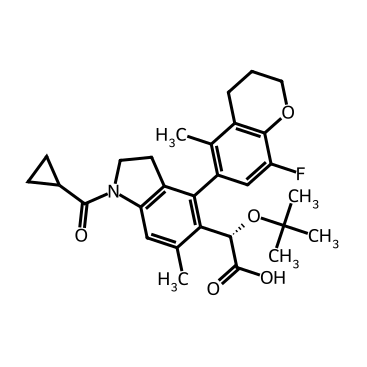 Cc1cc2c(c(-c3cc(F)c4c(c3C)CCCO4)c1[C@H](OC(C)(C)C)C(=O)O)CCN2C(=O)C1CC1